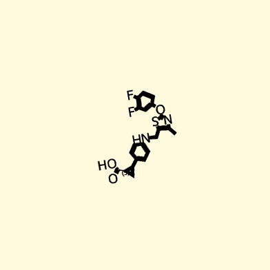 Cc1nc(Oc2ccc(F)c(F)c2)sc1CNc1ccc(C2C[C@@H]2C(=O)O)cc1